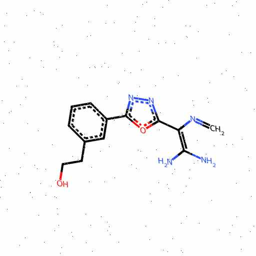 C=NC(=C(N)N)c1nnc(-c2cccc(CCO)c2)o1